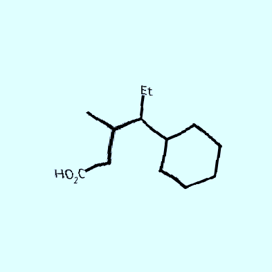 CCC(C(C)CC(=O)O)C1CCCCC1